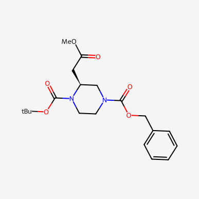 COC(=O)C[C@H]1CN(C(=O)OCc2ccccc2)CCN1C(=O)OC(C)(C)C